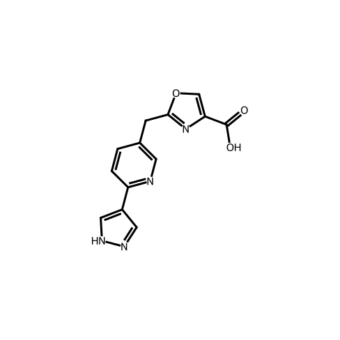 O=C(O)c1coc(Cc2ccc(-c3cn[nH]c3)nc2)n1